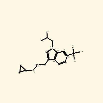 CC(C)Cn1cc(CNSC2CC2)c2ccc(C(F)(F)F)cc21